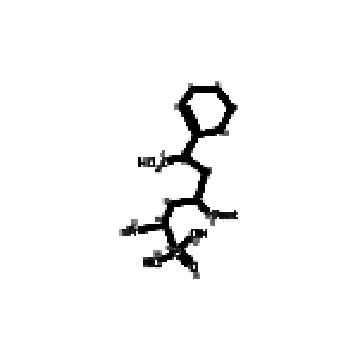 CCCCCC(CC(C(=O)O)C1=CCCCC1)CC(CCC)P(=O)(O)O